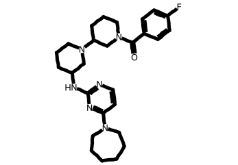 O=C(c1ccc(F)cc1)N1CCCC(N2CCCC(Nc3nccc(N4CCCCCC4)n3)C2)C1